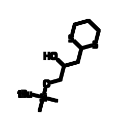 CC(C)(C)[Si](C)(C)OCC(O)CC1SCCCS1